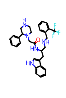 O=C(CN1CCNCC1c1ccccc1)NC(CNCc1ccccc1C(F)(F)F)Cc1c[nH]c2ccccc12